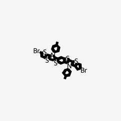 Cc1ccc(-n2c3c4c(sc3c3sc5cc6c(cc5c32)sc2c3sc5cc(Br)sc5c3n(-c3ccc(C)cc3)c62)C=C(Br)C4)cc1